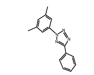 Cc1cc(C)cc(-n2nnc(-c3ccccc3)n2)c1